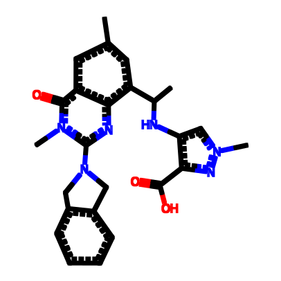 Cc1cc(C(C)Nc2cn(C)nc2C(=O)O)c2nc(N3Cc4ccccc4C3)n(C)c(=O)c2c1